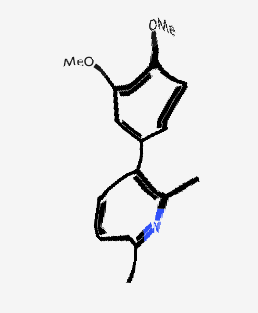 COc1ccc(-c2ccc(C)nc2C)cc1OC